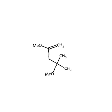 C=C(CC(C)(C)OC)OC